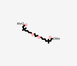 COC(=O)CC(C)(C)CCCCOCCCOCCCCC(C)(C)CC(=O)OC